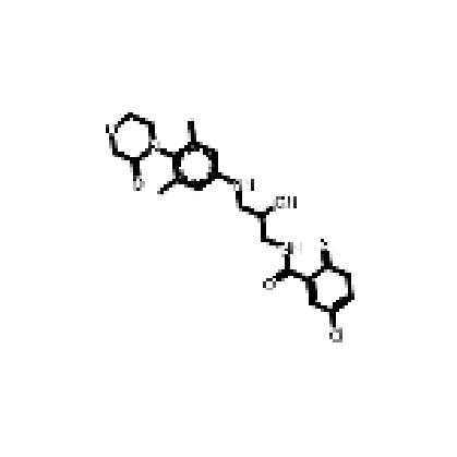 Cc1cc(NCC(O)CNC(=O)C2=CC(Cl)=CCC2=S)cc(C)c1N1CCOCC1=O